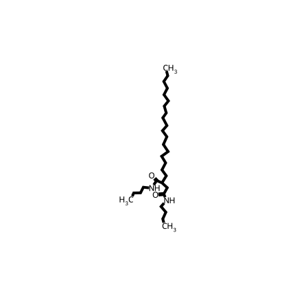 CCCCCCCCCCCCCCCCCCC(CC(=O)NCCCC)C(=O)NCCCC